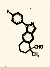 C[C@@]1(C=O)CCCc2cc3c(cnn3-c3ccc(F)cc3)cc21